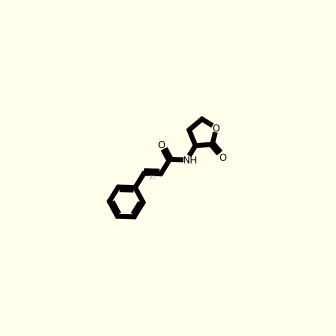 O=C(/C=C/c1ccccc1)NC1CCOC1=O